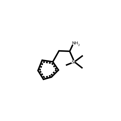 C[Si](C)(C)C(N)Cc1ccccc1